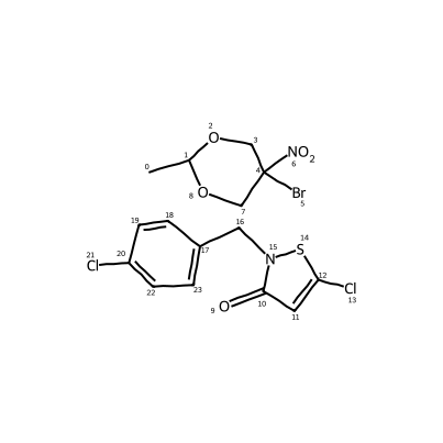 CC1OCC(Br)([N+](=O)[O-])CO1.O=c1cc(Cl)sn1Cc1ccc(Cl)cc1